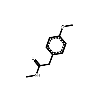 CNC(=O)[CH]c1ccc(OC)cc1